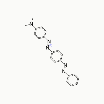 CN(C)c1ccc(/N=N/c2ccc(N=Nc3ccccc3)cc2)cc1